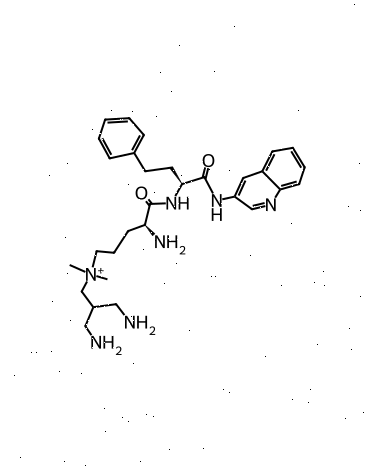 C[N+](C)(CCC[C@H](N)C(=O)N[C@@H](CCc1ccccc1)C(=O)Nc1cnc2ccccc2c1)CC(CN)CN